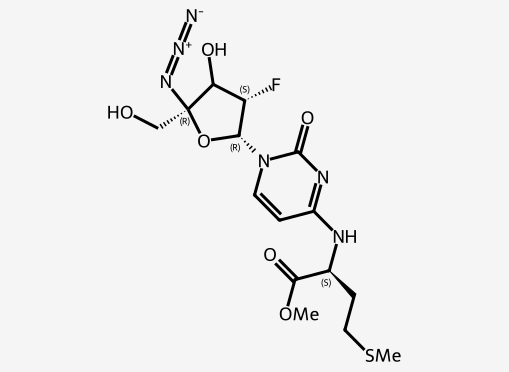 COC(=O)[C@H](CCSC)Nc1ccn([C@@H]2O[C@@](CO)(N=[N+]=[N-])C(O)[C@@H]2F)c(=O)n1